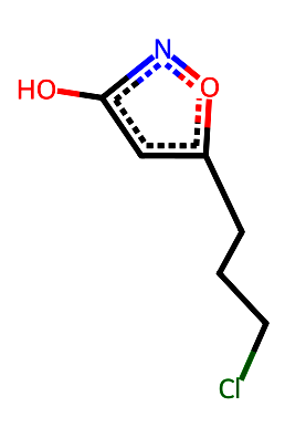 Oc1cc(CCCCl)on1